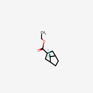 CCOC(=O)C1CC2CCC(C1)C2(F)F